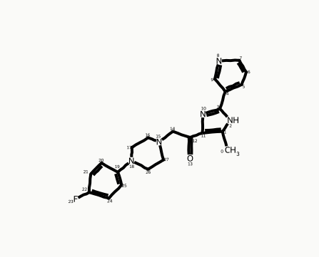 Cc1[nH]c(-c2cccnc2)nc1C(=O)CN1CCN(c2ccc(F)cc2)CC1